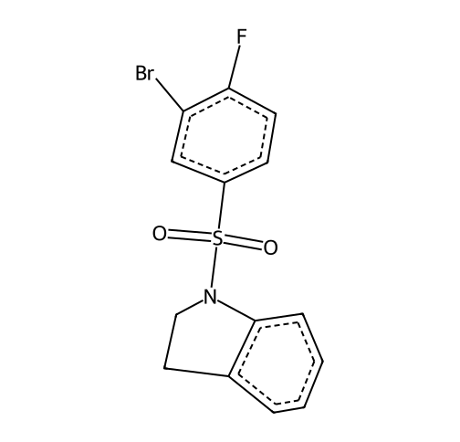 O=S(=O)(c1ccc(F)c(Br)c1)N1CCc2ccccc21